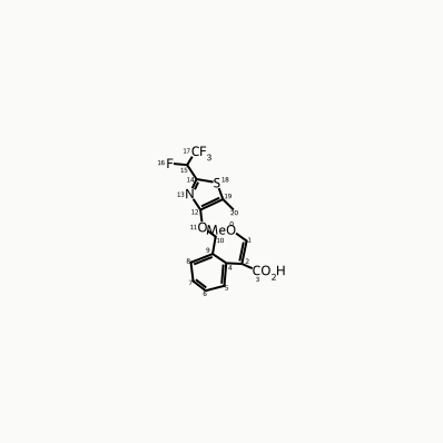 CO/C=C(/C(=O)O)c1ccccc1COc1nc(C(F)C(F)(F)F)sc1C